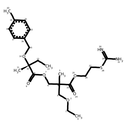 CCOCC(C)(COC(=O)[C@@](C)(CC)OCc1ccc(C)cc1)C(=O)OCCSC(=N)N